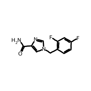 NC(=O)c1cn(Cc2ccc(F)cc2F)cn1